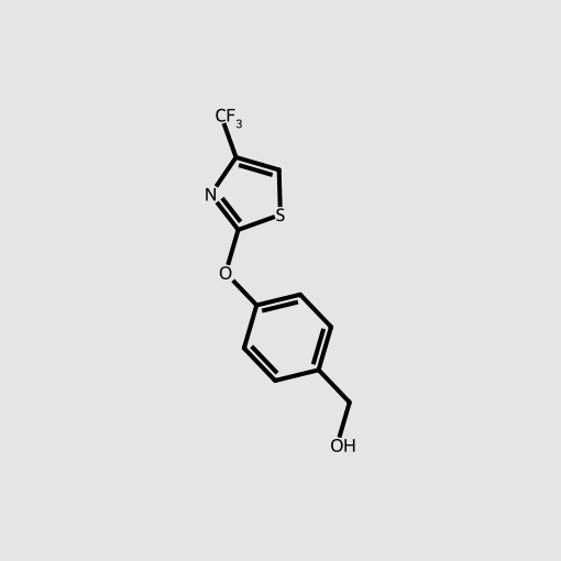 OCc1ccc(Oc2nc(C(F)(F)F)cs2)cc1